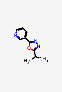 CC(C)c1nnc(-c2cccnc2)o1